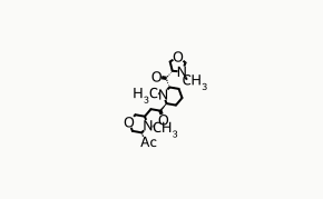 CC(=O)[C@@H]1COCC(CC(=O)[C@@H]2CCC[C@@H](C(=O)[C@@H]3COCN3C)N2C)N1C